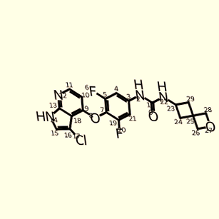 O=C(Nc1cc(F)c(Oc2ccnc3[nH]cc(Cl)c23)c(F)c1)NC1CC2(COC2)C1